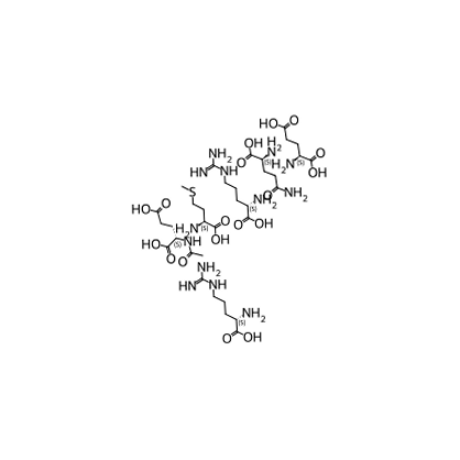 CC(=O)N[C@@H](CCC(=O)O)C(=O)O.CSCC[C@H](N)C(=O)O.N=C(N)NCCC[C@H](N)C(=O)O.N=C(N)NCCC[C@H](N)C(=O)O.NC(=O)CC[C@H](N)C(=O)O.N[C@@H](CCC(=O)O)C(=O)O